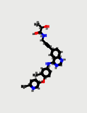 Cc1ccc(Oc2ccc(Nc3ncnc4ccc(C#CCNC(=O)[C@@H](C)O)cc34)cc2C)cn1